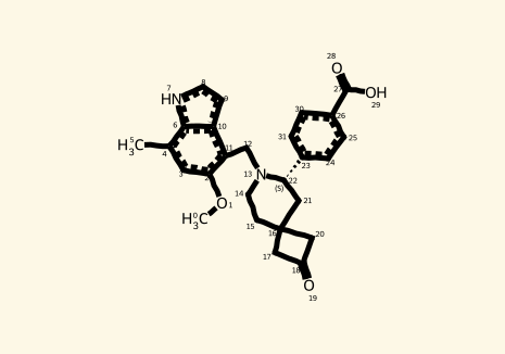 COc1cc(C)c2[nH]ccc2c1CN1CCC2(CC(=O)C2)C[C@H]1c1ccc(C(=O)O)cc1